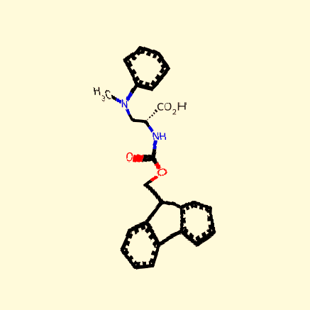 CN(C[C@@H](NC(=O)OCC1c2ccccc2-c2ccccc21)C(=O)O)c1ccccc1